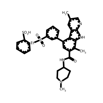 CCS(=O)(=O)c1cccc(-c2cc(C(=O)NC3CCN(C)CC3)c(C)c3[nH]c4ncc(C)cc4c23)c1.O=S(=O)(O)c1ccccc1